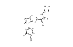 Cc1nc(-c2nnn(C)c2COC(=O)N(C)CC2CCC2)ccc1O